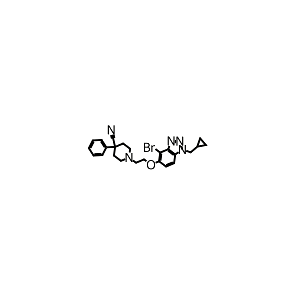 N#CC1(c2ccccc2)CCN(CCOc2ccc3c(nnn3CC3CC3)c2Br)CC1